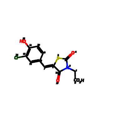 O=C(O)CN1C(=O)S/C(=C\c2ccc(O)c(Cl)c2)C1=O